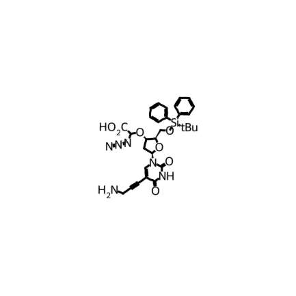 CC(C)(C)[Si](OC[C@H]1O[C@@H](n2cc(C#CCN)c(=O)[nH]c2=O)C[C@H]1OC(N=[N+]=[N-])C(=O)O)(c1ccccc1)c1ccccc1